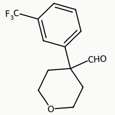 O=CC1(c2cccc(C(F)(F)F)c2)CCOCC1